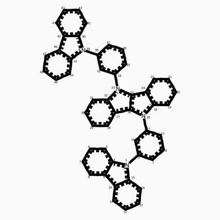 c1cc(-n2c3ccccc3c3ccccc32)cc(-n2c3ccccc3c3c2c2ccccc2n3-c2cccc(-n3c4ccccc4c4ccccc43)c2)c1